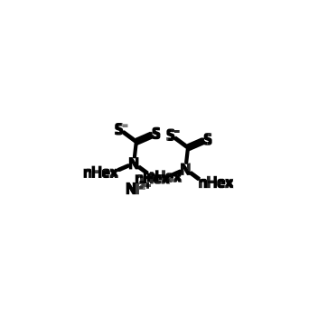 CCCCCCN(CCCCCC)C(=S)[S-].CCCCCCN(CCCCCC)C(=S)[S-].[Ni+2]